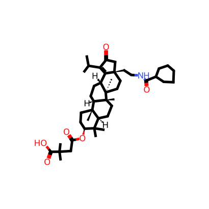 CC(C)C1=C2[C@H]3CC[C@@H]4[C@@]5(C)CC[C@H](OC(=O)CC(C)(C)C(=O)O)C(C)(C)[C@@H]5CC[C@@]4(C)[C@]3(C)CC[C@@]2(CCNC(=O)C2CCCCC2)CC1=O